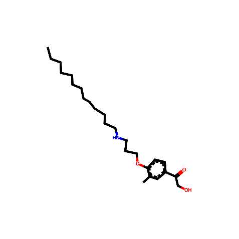 CCCCCCCCCCCCCNCCCOc1ccc(C(=O)CO)cc1C